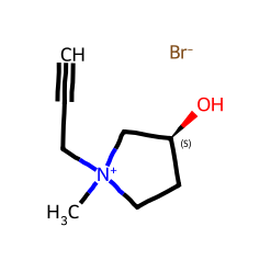 C#CC[N+]1(C)CC[C@H](O)C1.[Br-]